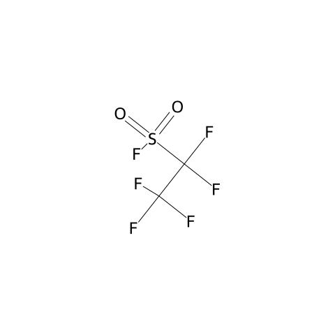 O=S(=O)(F)C(F)(F)C(F)(F)F